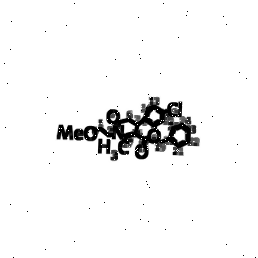 COCCN1C(=O)CC(c2ccc(Cl)cc2)C(C(=O)OCc2ccccc2)=C1C